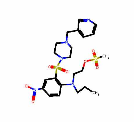 CCCN(CCOS(C)(=O)=O)c1ccc([N+](=O)[O-])cc1S(=O)(=O)N1CCN(Cc2cccnc2)CC1